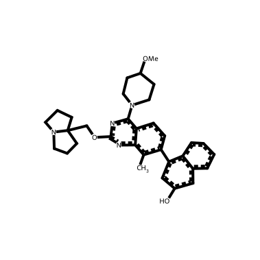 COC1CCN(c2nc(OCC34CCCN3CCC4)nc3c(C)c(-c4cc(O)cc5ccccc45)ccc23)CC1